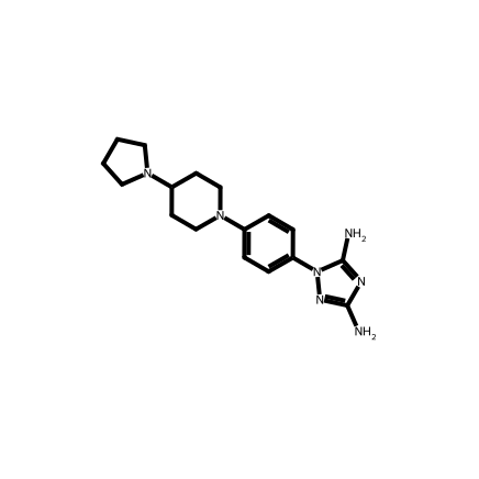 Nc1nc(N)n(-c2ccc(N3CCC(N4CCCC4)CC3)cc2)n1